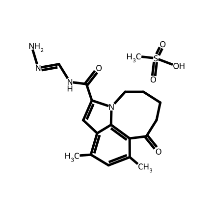 CS(=O)(=O)O.Cc1cc(C)c2cc(C(=O)NC=NN)n3c2c1C(=O)CCCC3